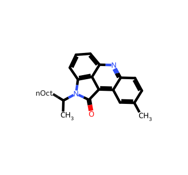 CCCCCCCCC(C)N1C(=O)c2c3cc(C)ccc3nc3cccc1c23